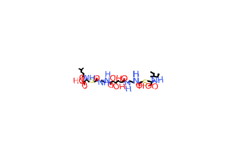 CCC(C)(CC)NC(CSCC(=O)NCCNC(=O)CC[C@@H](O)[C@H](O)C(=O)NCCNC(=O)CSCC(NC(=O)CCC(C)C)C(=O)O)C(=O)O